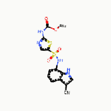 CC(C)(C)OC(=O)Nc1ncc(S(=O)(=O)Nc2cccc3c(C#N)c[nH]c23)s1